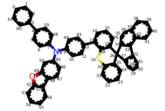 c1ccc(-c2ccc(N(c3ccc(-c4cccc5c4Sc4ccccc4C54c5ccccc5-c5c4ccc4ccccc54)cc3)c3ccc4c(c3)oc3ccccc34)cc2)cc1